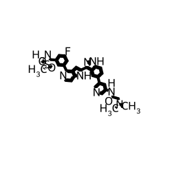 CN(C)CC(=O)Nc1cncc(-c2ccc3[nH]nc(-c4cc5c(-c6cc(F)cc(C(N)S(C)(=O)=O)c6)nccc5[nH]4)c3c2)c1